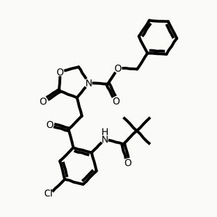 CC(C)(C)C(=O)Nc1ccc(Cl)cc1C(=O)CC1C(=O)OCN1C(=O)OCc1ccccc1